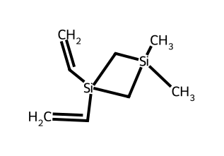 C=C[Si]1(C=C)C[Si](C)(C)C1